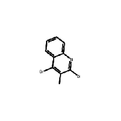 Cc1c(Br)nc2ccccc2c1Br